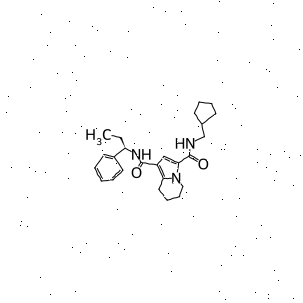 CC[C@@H](NC(=O)c1cc(C(=O)NCC2CCCC2)n2c1CCCC2)c1ccccc1